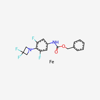 O=C(Nc1cc(F)c(N2CC(F)(F)C2)c(F)c1)OCc1ccccc1.[Fe]